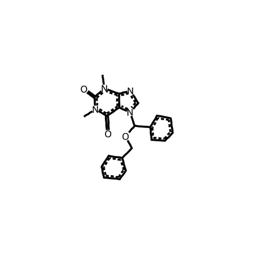 Cn1c(=O)c2c(ncn2C(OCc2ccccc2)c2ccccc2)n(C)c1=O